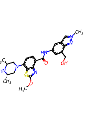 COc1nc2c(C(=O)Nc3cc(CO)c4nn(C)cc4c3)ccc(N3C[C@H](C)N[C@@H](C)C3)c2s1